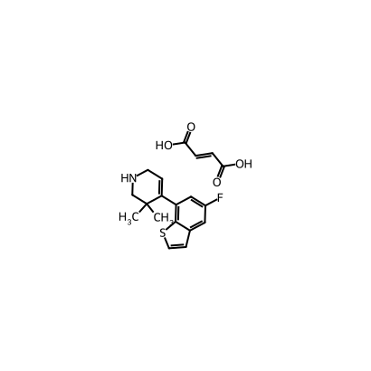 CC1(C)CNCC=C1c1cc(F)cc2ccsc12.O=C(O)C=CC(=O)O